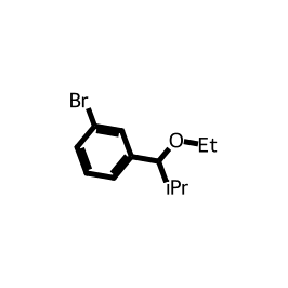 CCOC(c1cccc(Br)c1)C(C)C